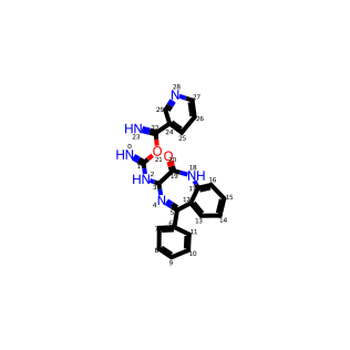 N=C(NC1N=C(c2ccccc2)c2ccccc2NC1=O)OC(=N)c1cccnc1